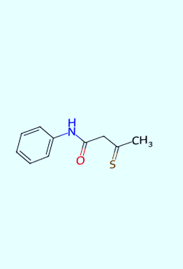 CC(=S)CC(=O)Nc1ccccc1